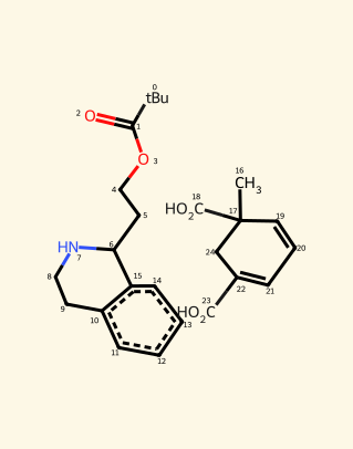 CC(C)(C)C(=O)OCCC1NCCc2ccccc21.CC1(C(=O)O)C=CC=C(C(=O)O)C1